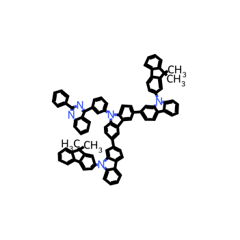 CC1(C)c2ccccc2-c2ccc(-n3c4ccccc4c4ccc(-c5ccc6c(c5)c5cc(-c7ccc8c9ccccc9n(-c9ccc%10c(c9)C(C)(C)c9ccccc9-%10)c8c7)ccc5n6-c5cccc(-c6nc(-c7ccccc7)nc7ccccc67)c5)cc43)cc21